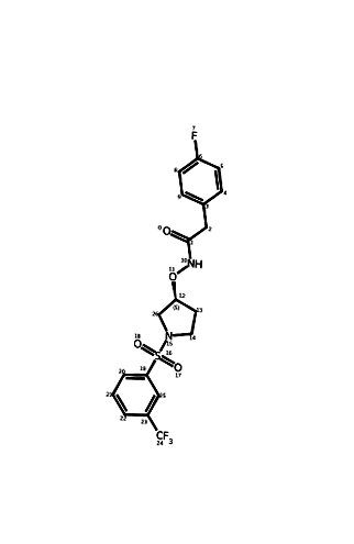 O=C(Cc1ccc(F)cc1)NO[C@H]1CCN(S(=O)(=O)c2cccc(C(F)(F)F)c2)C1